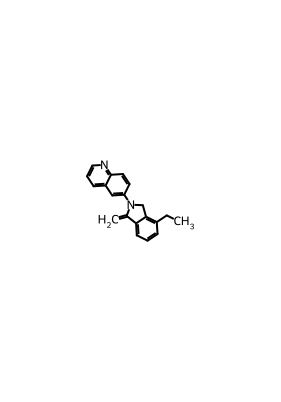 C=C1c2cccc(CC)c2CN1c1ccc2ncccc2c1